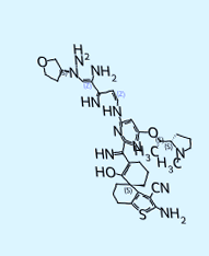 C[C@H](Oc1cc(N/C=C\C(=N)/C(N)=C/N(N)[C@H]2CCOC2)nc(C(=N)C2=C(O)[C@@]3(CCC2)CCCc2sc(N)c(C#N)c23)n1)[C@@H]1CCCN1C